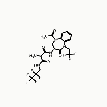 CC(=O)N1C[C@H](NC(=O)C(C)C(=O)NCC(F)(F)C(F)(F)F)C(=O)N(CC(F)(F)F)c2ccccc21